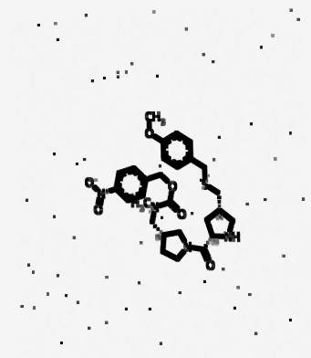 COc1ccc(CSC[C@@H]2CN[C@H](C(=O)N3CC[C@H](CN(C)C(=O)OCc4ccc([N+](=O)[O-])cc4)C3)C2)cc1